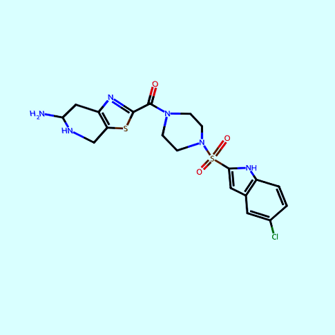 NC1Cc2nc(C(=O)N3CCN(S(=O)(=O)c4cc5cc(Cl)ccc5[nH]4)CC3)sc2CN1